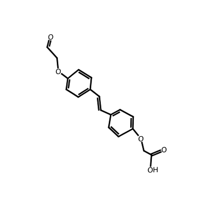 O=CCOc1ccc(/C=C/c2ccc(OCC(=O)O)cc2)cc1